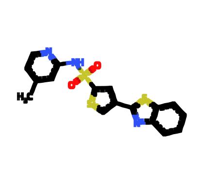 Cc1ccnc(NS(=O)(=O)c2cc(-c3nc4ccccc4s3)cs2)c1